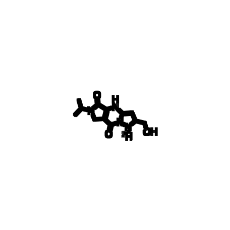 [2H]N1C(CO)C=C2NC3=C(CN(C(C)C)C3=O)C(=O)N21